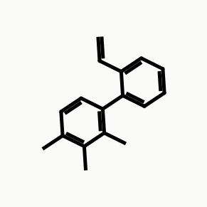 C=Cc1ccccc1-c1ccc(C)c(C)c1C